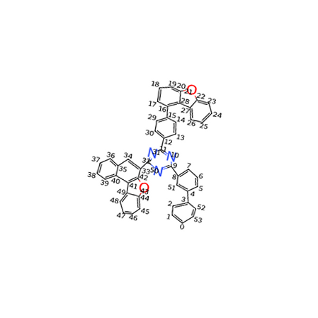 c1ccc(-c2cccc(-c3nc(-c4ccc(-c5cccc6oc7ccccc7c56)cc4)nc(-c4cc5ccccc5c5c4oc4ccccc45)n3)c2)cc1